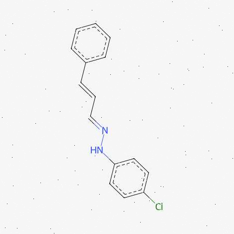 Clc1ccc(NN=CC=Cc2ccccc2)cc1